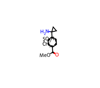 COC(=O)c1ccc(C2(N)CC2)cc1.CS(=O)(=O)O